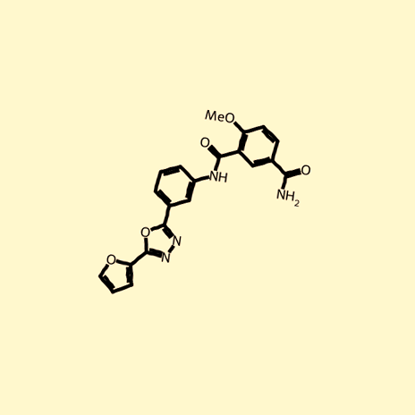 COc1ccc(C(N)=O)cc1C(=O)Nc1cccc(-c2nnc(-c3ccco3)o2)c1